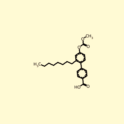 CCCCCCCCc1cc(OC(=O)OC)ccc1-c1ccc(C(=O)O)cc1